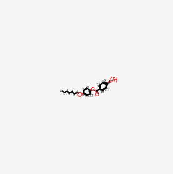 CCCCCCCOc1ccc(OC(=O)c2ccc(O)cc2)cc1